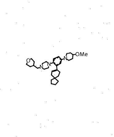 COC1CCN(c2ccc(N3CCN(CC4CCOCC4)CC3)c(C3=CCC4(CCCC4)CC3)c2)CC1